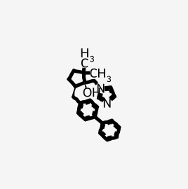 CC1(C)CC[C@H](Cc2ccc(-c3ccccc3)cc2)[C@]1(O)Cn1ccnc1